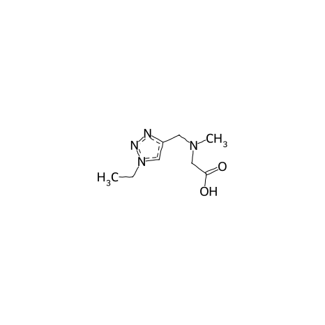 CCn1cc(CN(C)CC(=O)O)nn1